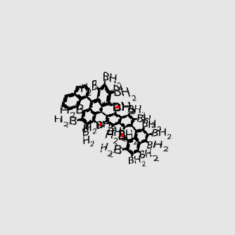 Bc1c(-c2c3c(B)c(B)c(B)c(B)c3c(-c3cccc4ccccc34)c3c(B)c(B)c(B)c(B)c23)c(B)c2c(B)c(B)c(-c3c(B)c(B)c(B)c4c(B)c(B)c(B)c(B)c34)c(B)c2c1B